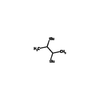 CC(C(C)C(C)(C)C)C(C)(C)C